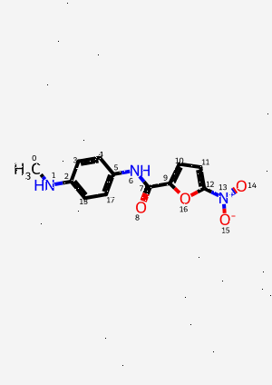 CNc1ccc(NC(=O)c2ccc([N+](=O)[O-])o2)cc1